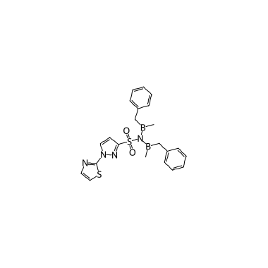 CB(Cc1ccccc1)N(B(C)Cc1ccccc1)S(=O)(=O)c1ccn(-c2nccs2)n1